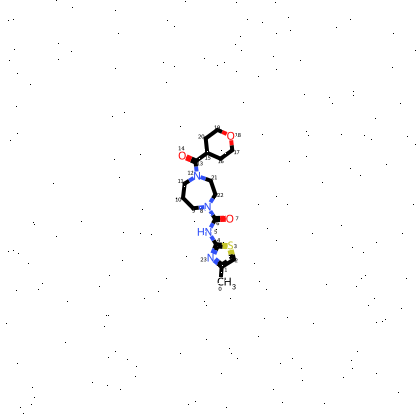 Cc1csc(NC(=O)N2CCCN(C(=O)C3CCOCC3)CC2)n1